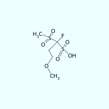 COCCC(F)(S(C)(=O)=O)S(=O)(=O)O